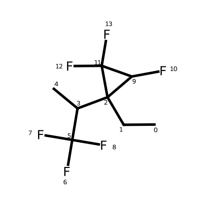 CCC1(C(C)C(F)(F)F)C(F)C1(F)F